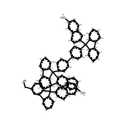 CC(C)Cc1ccc2c(c1)-c1ccccc1C2(Cc1cc2cc(O)ccc2cc1C1(c2ccc(-c3ccc(C4(c5ccc6cc(O)ccc6c5)c5ccccc5-c5ccccc54)cc3)cc2)c2ccccc2-c2ccccc21)c1ccc2ccccc2c1